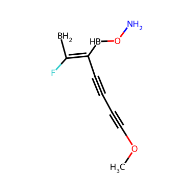 B/C(F)=C(\BON)C#CC#COC